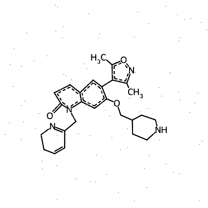 Cc1noc(C)c1-c1cc2ccc(=O)n(CC3=NCCC=C3)c2cc1OCC1CCNCC1